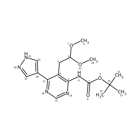 COC(Cc1c(NC(=O)OC(C)(C)C)ncnc1-c1cn[nH]c1)OC